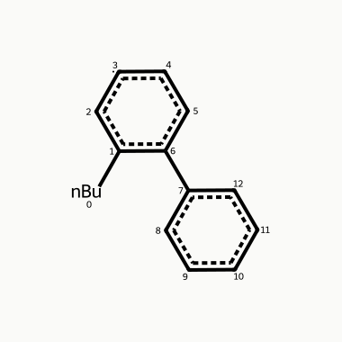 CCCCc1c[c]ccc1-c1ccccc1